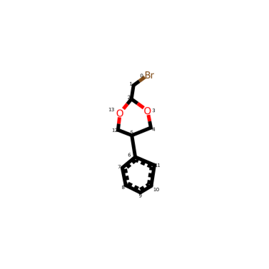 BrCC1OCC(c2ccccc2)CO1